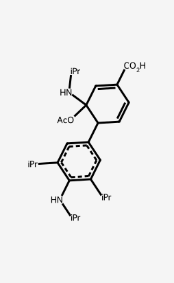 CC(=O)OC1(NC(C)C)C=C(C(=O)O)C=CC1c1cc(C(C)C)c(NC(C)C)c(C(C)C)c1